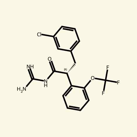 N=C(N)NC(=O)[C@H](Cc1cccc(Cl)c1)c1ccccc1OC(F)(F)F